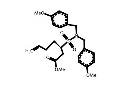 C=CCC[C@H](CC(=O)OC)S(=O)(=O)N(Cc1ccc(OC)cc1)Cc1ccc(OC)cc1